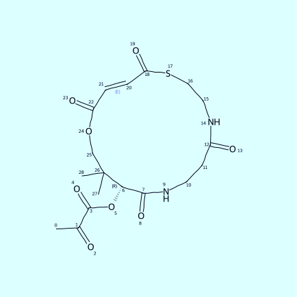 CC(=O)C(=O)O[C@H]1C(=O)NCCC(=O)NCCSC(=O)/C=C/C(=O)OCC1(C)C